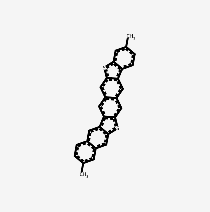 Cc1ccc2cc3c(cc2c1)sc1cc2cc4c(cc2cc13)sc1cc(C)ccc14